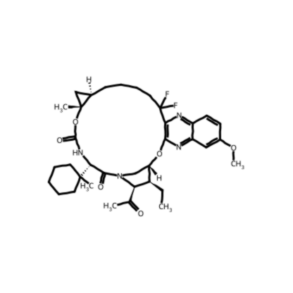 CC[C@@H]1[C@@H]2CN(C(=O)[C@H](C3(C)CCCCC3)NC(=O)O[C@]3(C)C[C@H]3CCCCC(F)(F)c3nc4ccc(OC)cc4nc3O2)[C@@H]1C(C)=O